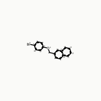 Brc1ccc(OCc2ccc3ccccc3c2)cc1